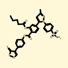 CCCCC(=O)Oc1cc(-c2cc(C)nn2-c2ccc(S(N)(=O)=O)cc2)ccc1C(=O)Oc1ccc(-c2cssc2=S)cc1